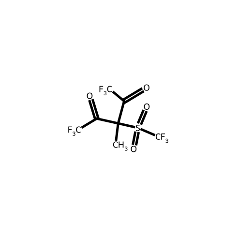 CC(C(=O)C(F)(F)F)(C(=O)C(F)(F)F)S(=O)(=O)C(F)(F)F